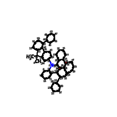 CC1(C)c2cc(N(c3ccccc3-c3cc4ccccc4cc3-c3ccccc3)c3cccc4ccccc34)ccc2-c2c(-c3ccccc3)cccc21